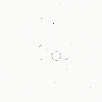 CC(Br)C(=O)OCc1ccc(C(=O)O)cc1